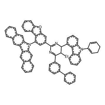 CCC1C(c2cccc(-c3ccccc3)c2)=NC(c2cc(-n3c4cc5ccccc5cc4c4cc5ccccc5cc43)c3c(c2)oc2ccccc23)=NC1c1cccc2c1c1ccccc1n2C1=CCCC=C1